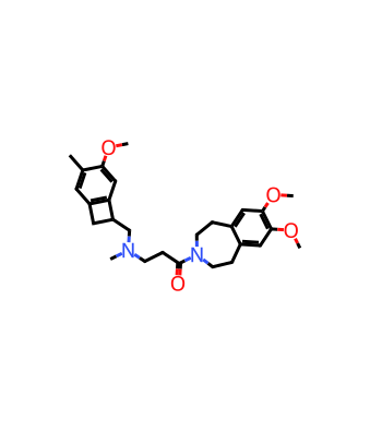 COc1cc2c(cc1C)CC2CN(C)CCC(=O)N1CCc2cc(OC)c(OC)cc2CC1